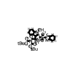 CC(C)[C@@](NCS(=O)(=O)c1nc2ccccc2s1)(C(=O)N(C(=O)OC(C)(C)C)C(=O)OC(C)(C)C)c1cn(C)c2ccccc12